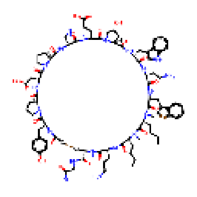 CCCC[C@H]1C(=O)N(C)[C@@H](CCCC)C(=O)N[C@@H](CCCN)C(=O)N[C@H](C(=O)NCC(N)=O)CSCC(=O)N[C@@H](Cc2ccc(O)cc2)C(=O)N2CCC[C@H]2C(=O)N[C@@H](CC(=O)O)C(=O)N2CCC[C@H]2C(=O)N[C@@H](CN)C(=O)N[C@@H](CCC(=O)O)C(=O)N2C[C@H](O)C[C@H]2C(=O)N[C@@H](Cc2c[nH]c3ccccc23)C(=O)N[C@@H](CCN)C(=O)N[C@@H](Cc2csc3ccccc23)C(=O)N1C